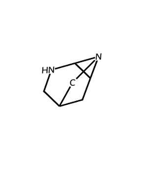 C1NC2C3CC1CN32